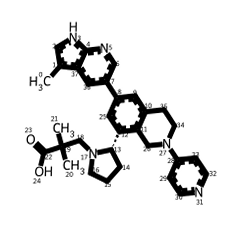 Cc1c[nH]c2ncc(-c3cc4c(c([C@@H]5CCCN5CC(C)(C)C(=O)O)c3)CN(c3ccncc3)CC4)cc12